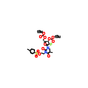 Cc1ccc(S(=O)(=O)OCCn2c(=O)c(C)cn([C@@H]3O[C@H](COC(=O)OC(C)(C)C)C(OC(=O)OC(C)(C)C)C3F)c2=O)cc1